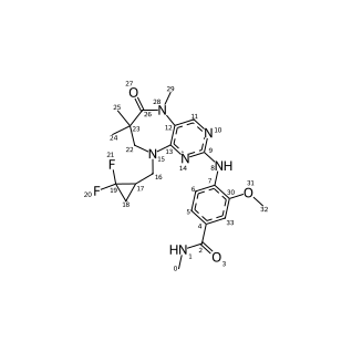 CNC(=O)c1ccc(Nc2ncc3c(n2)N(CC2CC2(F)F)CC(C)(C)C(=O)N3C)c(OC)c1